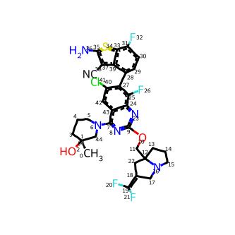 C[C@@]1(O)CCCN(c2nc(OCC34CCCN3CC(=C(F)F)C4)nc3c(F)c(-c4ccc(F)c5sc(N)c(C#N)c45)c(Cl)cc23)C1